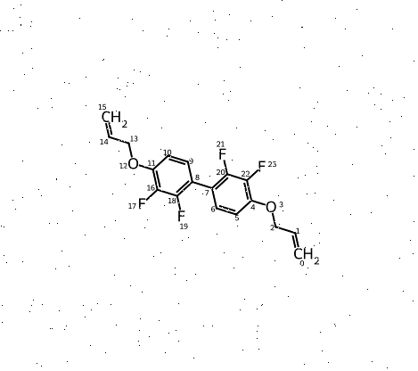 C=CCOc1ccc(-c2ccc(OCC=C)c(F)c2F)c(F)c1F